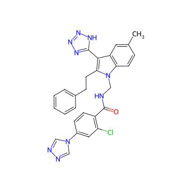 Cc1ccc2c(c1)c(-c1nnn[nH]1)c(CCc1ccccc1)n2CNC(=O)c1ccc(-n2cnnc2)cc1Cl